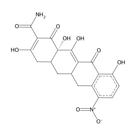 NC(=O)C1=C(O)CC2CC3Cc4c([N+](=O)[O-])ccc(O)c4C(=O)C3=C(O)[C@]2(O)C1=O